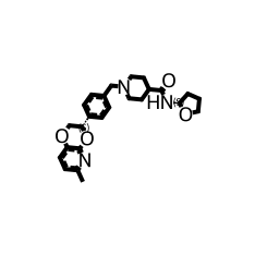 Cc1ccc2c(n1)O[C@@H](c1ccc(CN3CCC(C(=O)N[C@@H]4CCCO4)CC3)cc1)CO2